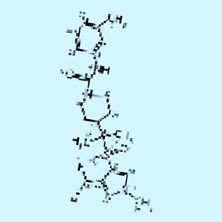 Cc1cc(NC(=O)N2CCC(C(C)(C)S(=O)(=O)c3cn(C)nc3C(F)F)CC2)cnn1